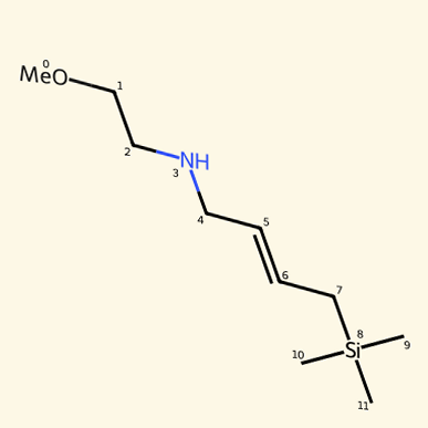 COCCNC/C=C/C[Si](C)(C)C